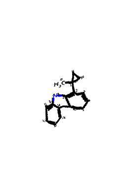 CC1(c2cccc3c2[N]c2ccccc2-3)CC1